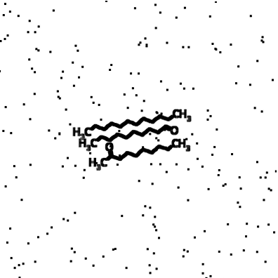 CCCCCCCCC(C)=O.CCCCCCCCCC=O.CCCCCCCCCCCC